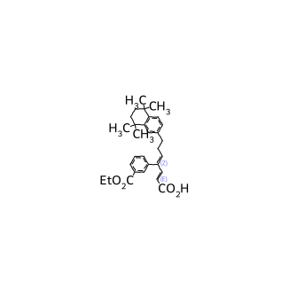 CCOC(=O)c1cccc(C(=C\CCc2ccc3c(c2)C(C)(C)CCC3(C)C)/C=C/C(=O)O)c1